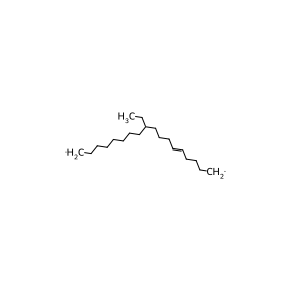 [CH2]CCCC=CCCCC(CC)CCCCCCC[CH2]